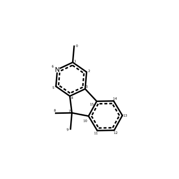 Cc1cc2c(cn1)C(C)(C)c1ccccc1-2